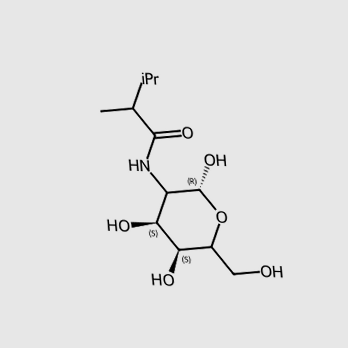 CC(C)C(C)C(=O)NC1[C@H](O)OC(CO)[C@@H](O)[C@H]1O